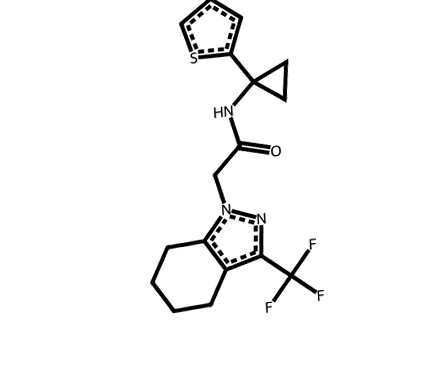 O=C(Cn1nc(C(F)(F)F)c2c1CCCC2)NC1(c2cccs2)CC1